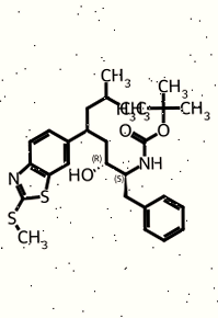 CSc1nc2ccc(C(CC(C)C)C[C@@H](O)[C@H](Cc3ccccc3)NC(=O)OC(C)(C)C)cc2s1